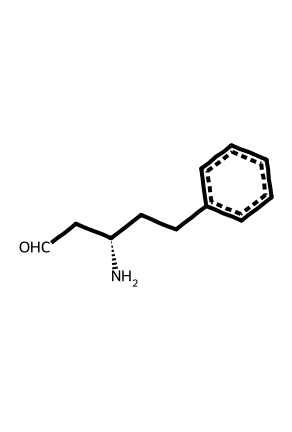 N[C@H](CC=O)CCc1ccccc1